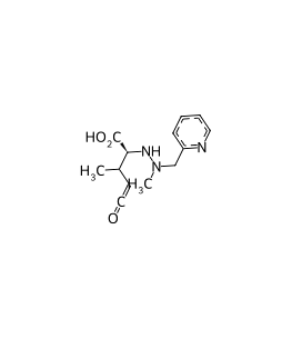 CC(C=C=O)[C@H](NN(C)Cc1ccccn1)C(=O)O